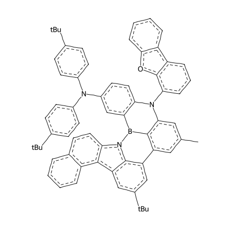 Cc1cc2c3c(c1)N(c1cccc4c1oc1ccccc14)c1ccc(N(c4ccc(C(C)(C)C)cc4)c4ccc(C(C)(C)C)cc4)cc1B3n1c3ccc4ccccc4c3c3cc(C(C)(C)C)cc-2c31